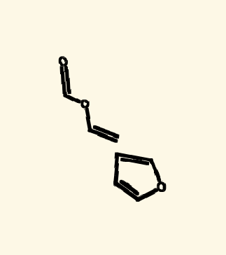 C=COC=O.c1ccoc1